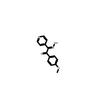 COc1ccc(C(=O)C(=NO)c2ccncc2)cc1